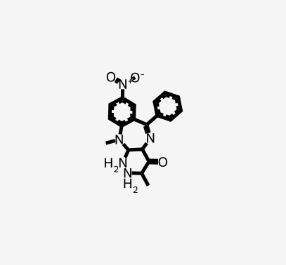 CC(N)C(=O)C1N=C(c2ccccc2)c2cc([N+](=O)[O-])ccc2N(C)C1N